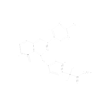 CNC(=O)C(C)(C)c1ccc(Nc2nc(-c3cnc(N)nc3)cc3cc[nH]c(=O)c23)cc1